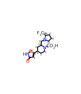 O=C(O)N1CCC(c2cc(=O)[nH]o2)CC1CN1CCC[C@@H]1C(F)(F)F